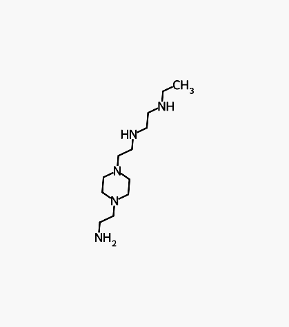 CCNCCNCCN1CCN(CCN)CC1